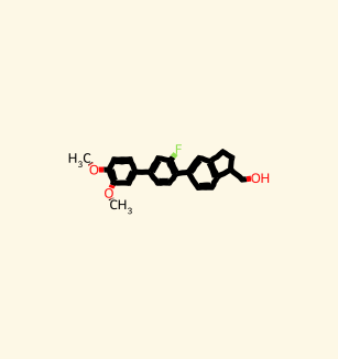 COc1ccc(-c2ccc(-c3ccc4c(c3)CCC4CO)c(F)c2)cc1OC